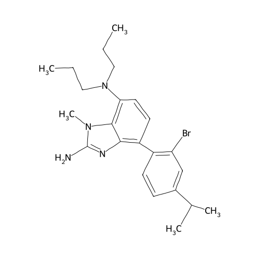 CCCN(CCC)c1ccc(-c2ccc(C(C)C)cc2Br)c2nc(N)n(C)c12